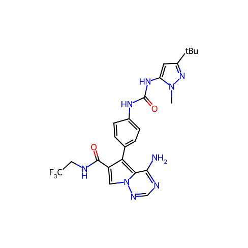 Cn1nc(C(C)(C)C)cc1NC(=O)Nc1ccc(-c2c(C(=O)NCC(F)(F)F)cn3ncnc(N)c23)cc1